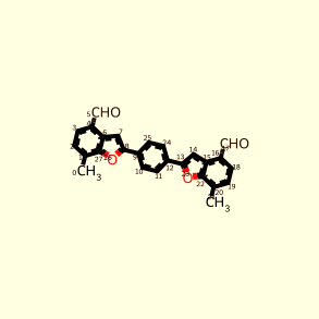 Cc1ccc(C=O)c2cc(-c3ccc(-c4cc5c(C=O)ccc(C)c5o4)cc3)oc12